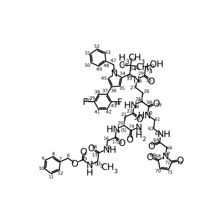 C[C@H](NC(=O)OCc1ccccc1)C(=O)NCC(=O)N[C@@H](CC(=O)N[C@@H](CCN(C(=O)CO)[C@@H](c1cc(-c2cc(F)ccc2F)cn1Cc1ccccc1)C(C)(C)C)C(=O)NCCNC(=O)CN1C(=O)C=CC1=O)C(N)=O